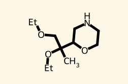 CCOCC(C)(OCC)C1CNCCO1